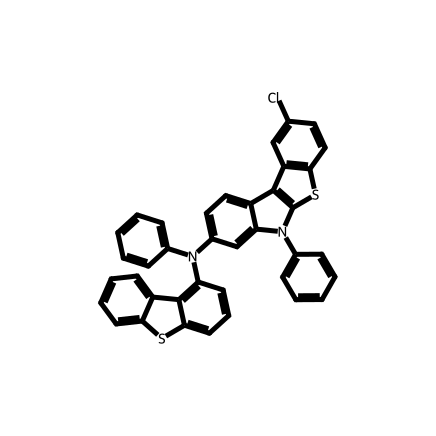 Clc1ccc2sc3c(c2c1)c1ccc(N(c2ccccc2)c2cccc4sc5ccccc5c24)cc1n3-c1ccccc1